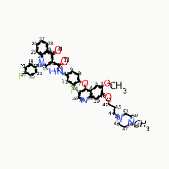 COc1cc2c(Oc3ccc(NC(=O)c4cn(-c5ccc(F)cc5)c5ccccc5c4=O)cc3F)ccnc2cc1OCCCN1CCN(C)CC1